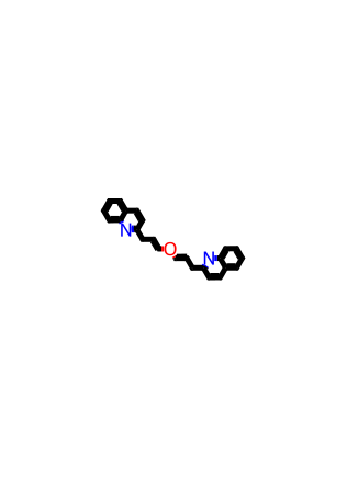 C(=COC=CCc1ccc2ccccc2n1)Cc1ccc2ccccc2n1